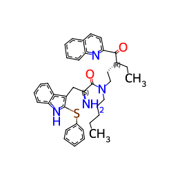 CCCCCN(CC[C@@H](CC)C(=O)c1ccc2ccccc2n1)C(=O)[C@@H](N)Cc1c(Sc2ccccc2)[nH]c2ccccc12